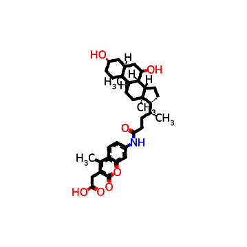 Cc1c(CC(=O)O)c(=O)oc2cc(NC(=O)CC[C@@H](C)[C@H]3CC[C@H]4[C@@H]5C(O)C[C@@H]6C[C@H](O)CC[C@]6(C)[C@H]5CC[C@]34C)ccc12